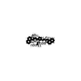 CCCCC(CC)CSC1=C(/C=C/C2=[N+](CCCC)c3ccc4ccccc4c3C2(C)C)CC/C1=C\C=C1\N(CCCC)c2ccc3ccccc3c2C1(C)C